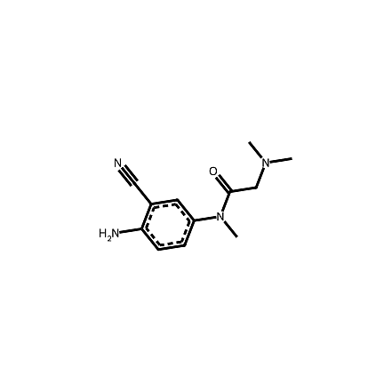 CN(C)CC(=O)N(C)c1ccc(N)c(C#N)c1